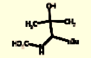 CCCCC(NC(=O)O)C(C)(C)O